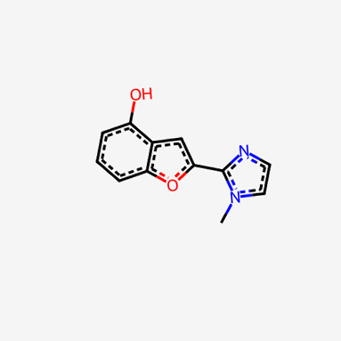 Cn1ccnc1-c1cc2c(O)cccc2o1